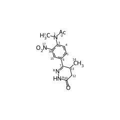 CC(=O)N(C)c1ccc(C2=NNC(=O)CC2C)cc1[N+](=O)[O-]